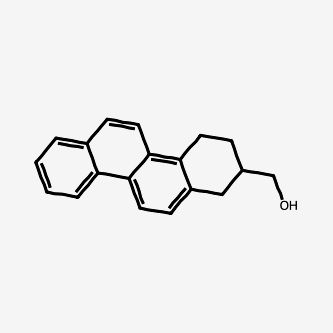 OCC1CCc2c(ccc3c2ccc2ccccc23)C1